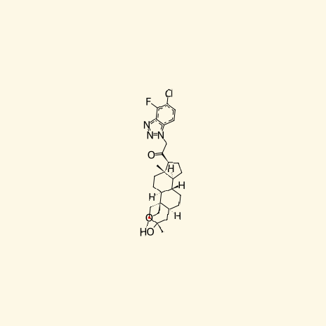 COC[C@]12CC[C@@](C)(O)C[C@@H]1CC[C@H]1[C@@H]3CC[C@H](C(=O)Cn4nnc5c(F)c(Cl)ccc54)[C@@]3(C)CC[C@@H]12